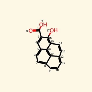 O=C(O)c1cc2ccc3cccc4ccc(c1O)c2c34